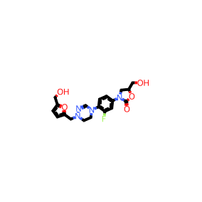 O=C1OC(CO)CN1c1ccc(N2C=NN(Cc3ccc(CO)o3)CC2)c(F)c1